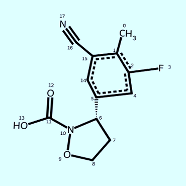 Cc1c(F)cc([C@@H]2CCON2C(=O)O)cc1C#N